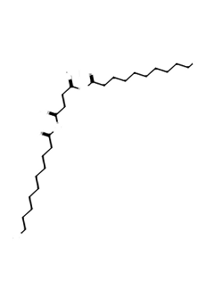 N=C(CCC(=O)OC(=O)CCCCCCCCCO)OC(=O)CCCCCCCCCO